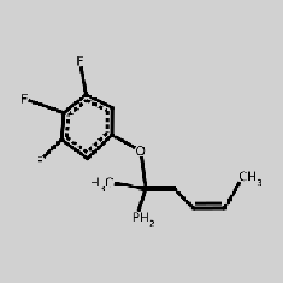 C/C=C\CC(C)(P)Oc1cc(F)c(F)c(F)c1